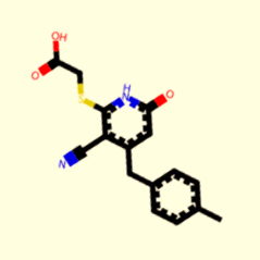 Cc1ccc(Cc2cc(=O)[nH]c(SCC(=O)O)c2C#N)cc1